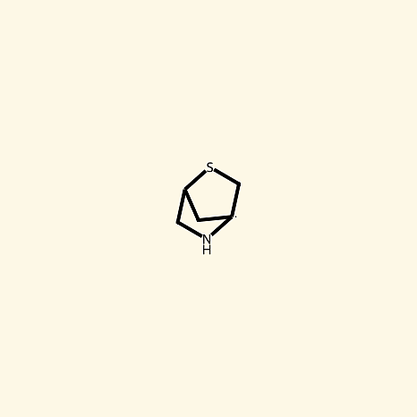 C1SC2CN[C]1C2